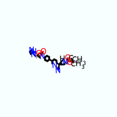 CC(C)(C)OC(=O)N1CC2C(C1)C2(C#N)c1ccc(-c2ccc(N3C[C@H](Cn4ccnn4)OC3=O)cc2)cn1